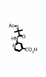 CC(=O)SC(C)(C)C(=O)Nc1cc(C(=O)O)ccn1